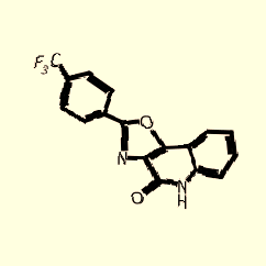 O=c1[nH]c2ccccc2c2oc(-c3ccc(C(F)(F)F)cc3)nc12